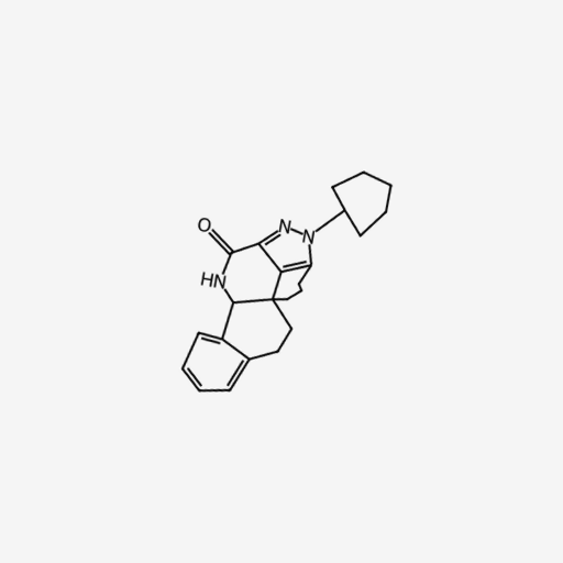 O=C1NC2c3ccccc3CCC23CCCc2c3c1nn2C1CCCCC1